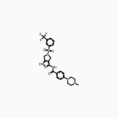 CN1CCN(c2ccc(C(=O)Nc3n[nH]c4c3CN(S(=O)(=O)c3cccc(C(F)(F)F)c3)C4)cc2)CC1